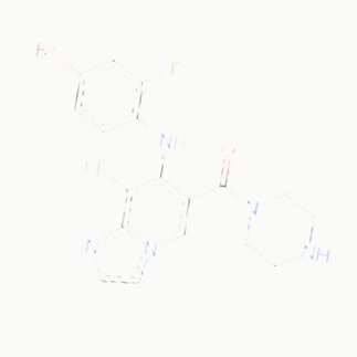 O=C(c1cn2ccnc2c(Cl)c1Nc1ccc(Br)cc1F)N1CCNCC1